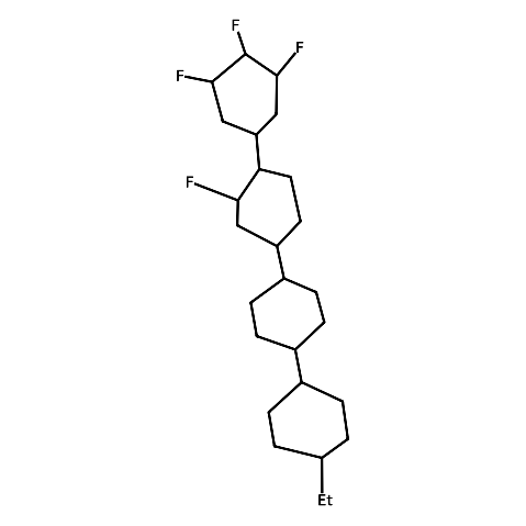 CCC1CCC(C2CCC(C3CCC(C4CC(F)C(F)C(F)C4)C(F)C3)CC2)CC1